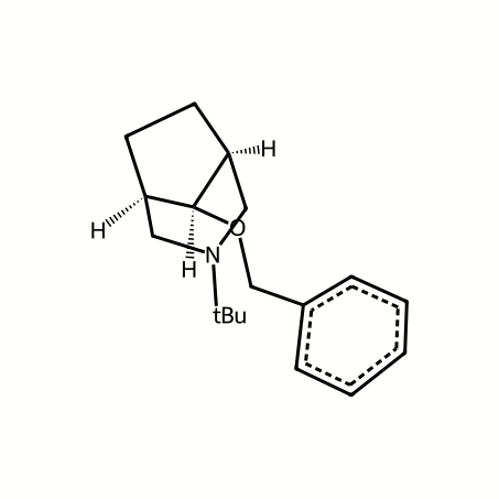 CC(C)(C)N1C[C@H]2CC[C@@H](C1)[C@H]2OCc1ccccc1